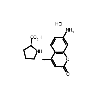 Cc1cc(=O)oc2cc(N)ccc12.Cl.O=C(O)[C@@H]1CCCN1